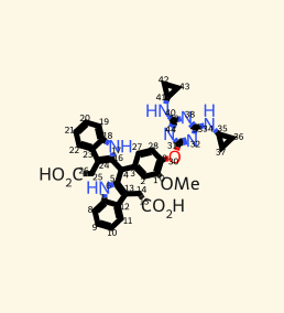 COc1cc(C(c2[nH]c3ccccc3c2CC(=O)O)c2[nH]c3ccccc3c2CC(=O)O)ccc1Oc1nc(NC2CC2)nc(NC2CC2)n1